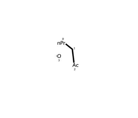 CCCCC(C)=O.[O]